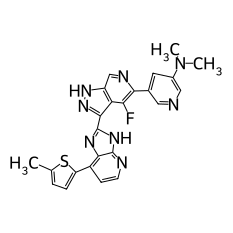 Cc1ccc(-c2ccnc3[nH]c(-c4n[nH]c5cnc(-c6cncc(N(C)C)c6)c(F)c45)nc23)s1